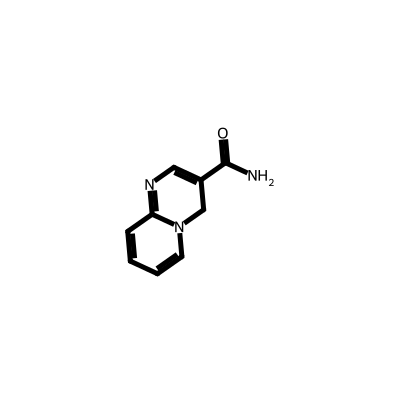 NC(=O)C1=CN=C2C=CC=CN2C1